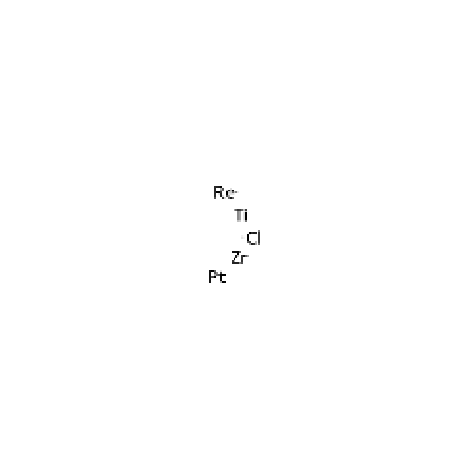 [Cl].[Pt].[Re].[Ti].[Zr]